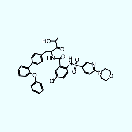 CC(O)C(=O)[C@H](Cc1ccc(-c2ccccc2Oc2ccccc2)cc1)NC(=O)c1cc(Cl)ccc1NS(=O)(=O)c1ccc(N2CCOCC2)nc1